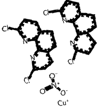 Clc1ccc2ccc3ccc(Cl)nc3c2n1.Clc1ccc2ccc3ccc(Cl)nc3c2n1.O=[N+]([O-])[O-].[Cu+]